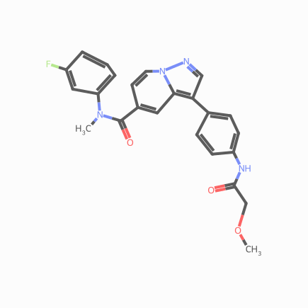 COCC(=O)Nc1ccc(-c2cnn3ccc(C(=O)N(C)c4cccc(F)c4)cc23)cc1